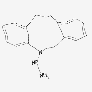 NPN1Cc2ccccc2CCc2ccccc21